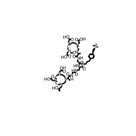 C=C(O)CN1CCN(CC(=O)O)CCN(CC(=O)O)CCN(C(C)C(=O)NCC(=O)NCC(NC(=O)CNC(=O)C(C)N2CCN(CC(=O)O)CCN(CC(=O)O)CCN(CC(=O)O)CC2)C(=O)NCCCc2ccc(C#C[Si](C)(C)C)cc2)CC1